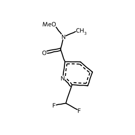 CON(C)C(=O)c1cccc(C(F)F)n1